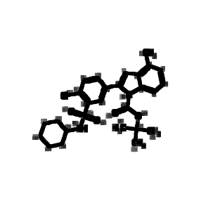 Cc1cccc2c1cc(-c1ccc(Cl)c(S(=O)(=O)NC3CCCCC3)c1)n2C(=O)OC(C)(C)C